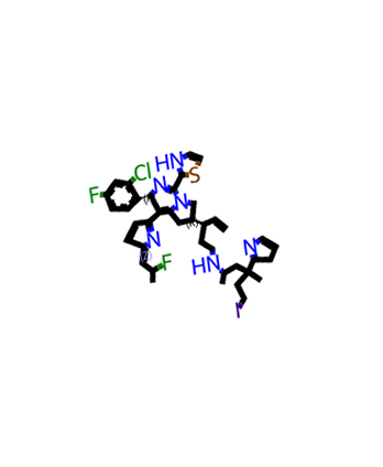 C=CC(CCNC(C)CC(C)(CCI)C1=NC=CC1)[C@H]1CC2=C(C3=N/C(=C\C(C)F)C=C3)[C@H](c3ccc(F)cc3Cl)N=C(C3NC=CS3)N2C1